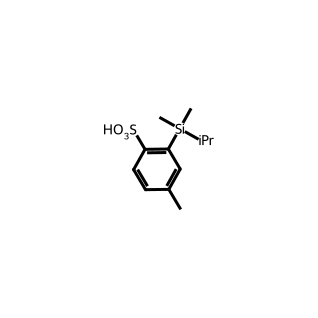 Cc1ccc(S(=O)(=O)O)c([Si](C)(C)C(C)C)c1